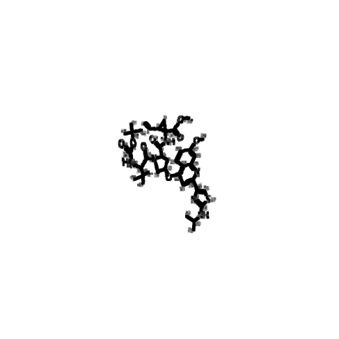 C=CC1CC1(NC(=O)C1CC(Oc2cc(-c3csc(NC(C)C)n3)nc3cc(OC)ccc23)CN1C(=O)C(NC(=O)OC(C)(C)C)C(C)(C)C)C(=O)OC